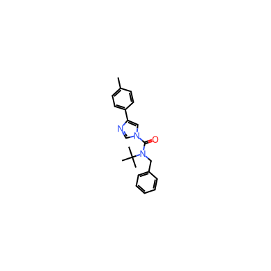 Cc1ccc(-c2cn(C(=O)N(Cc3ccccc3)C(C)(C)C)cn2)cc1